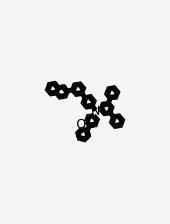 c1ccc(-c2cc(-c3ccccc3)cc(N(c3ccc(-c4cccc(-c5ccc6ccccc6c5)c4)cc3)c3ccc4c(c3)oc3ccccc34)c2)cc1